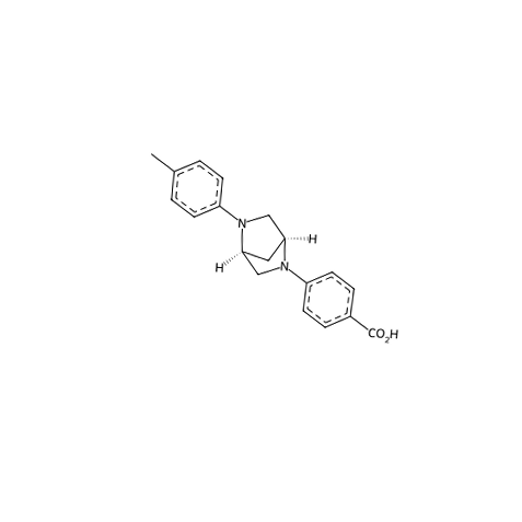 Cc1ccc(N2C[C@@H]3C[C@H]2CN3c2ccc(C(=O)O)cc2)cc1